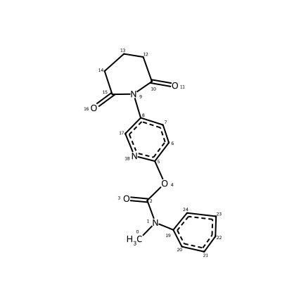 CN(C(=O)Oc1ccc(N2C(=O)CCCC2=O)cn1)c1ccccc1